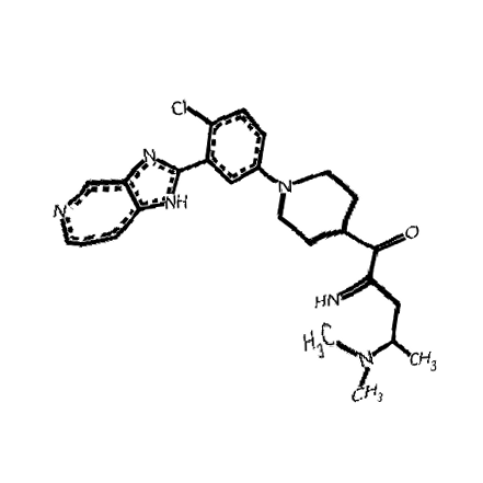 CC(CC(=N)C(=O)C1CCN(c2ccc(Cl)c(-c3nc4cnccc4[nH]3)c2)CC1)N(C)C